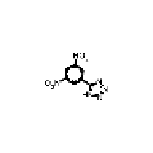 O=[N+]([O-])c1cc(-c2nnn[nH]2)cc([N+](=O)[O-])c1